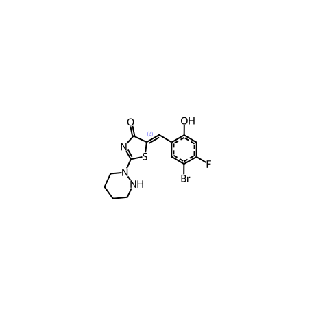 O=C1N=C(N2CCCCN2)S/C1=C\c1cc(Br)c(F)cc1O